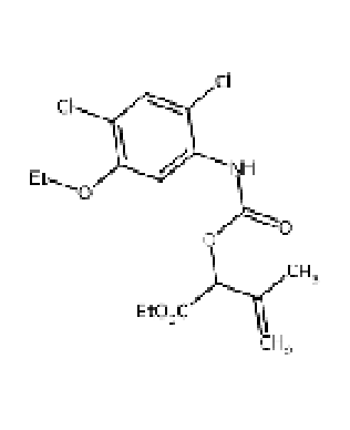 C=C(C)C(OC(=O)Nc1cc(OCC)c(Cl)cc1Cl)C(=O)OCC